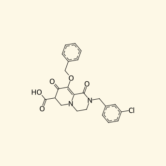 O=C(O)C1CN2CCN(Cc3cccc(Cl)c3)C(=O)C2=C(OCc2ccccc2)C1=O